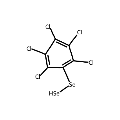 Clc1c(Cl)c(Cl)c([Se][SeH])c(Cl)c1Cl